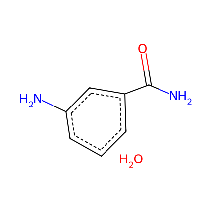 NC(=O)c1cccc(N)c1.O